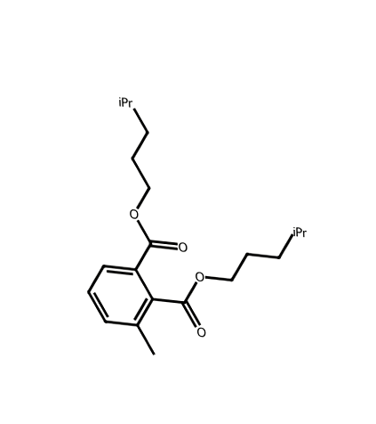 Cc1cccc(C(=O)OCCCC(C)C)c1C(=O)OCCCC(C)C